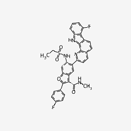 CCS(=O)(=O)Nc1cc2oc(-c3ccc(F)cc3)c(C(=O)NC)c2cc1-c1ccc2ccc3c([nH]c4cccc(F)c43)c2n1